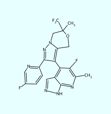 Cc1nc2[nH]ncc2c(-c2c(-c3ccc(F)cn3)nn3c2COC(C)(C(F)(F)F)C3)c1F